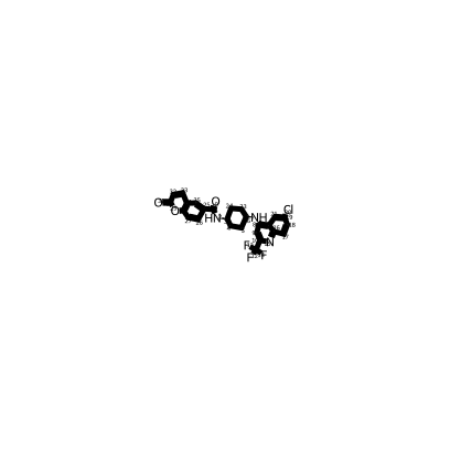 O=C(N[C@H]1CC[C@@H](Nc2cc(C(F)(F)F)nc3ccc(Cl)cc23)CC1)c1ccc2oc(=O)ccc2c1